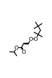 C[C](C)OC(=O)C=COOC(C)(C)CC(C)(C)C